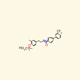 Cc1cc(CCNC(=O)c2ccc(-c3cccc(C(F)(F)F)c3)cc2)ccc1OC(C)(C)C(=O)O